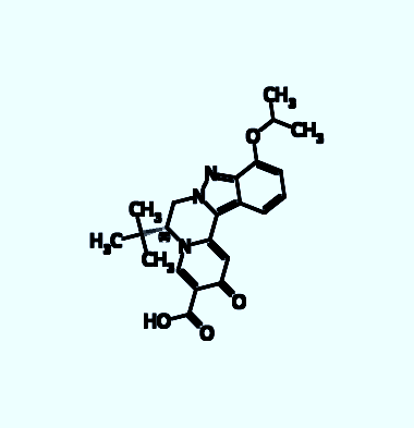 CC(C)Oc1cccc2c3n(nc12)C[C@@H](C(C)(C)C)n1cc(C(=O)O)c(=O)cc1-3